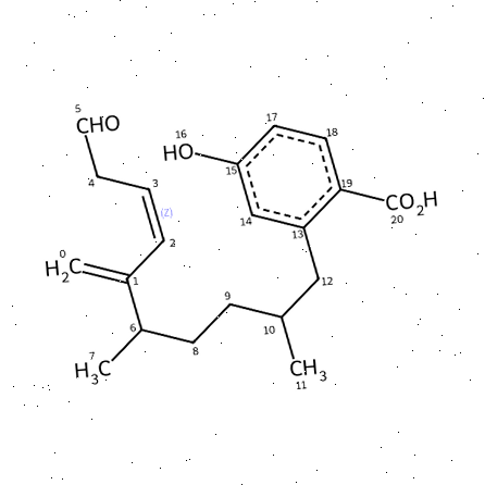 C=C(/C=C\CC=O)C(C)CCC(C)Cc1cc(O)ccc1C(=O)O